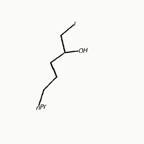 CCCCCCC(O)CI